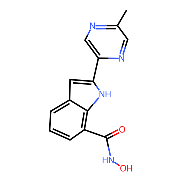 Cc1cnc(-c2cc3cccc(C(=O)NO)c3[nH]2)cn1